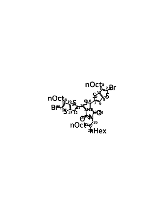 CCCCCCCCc1c(Br)sc2cc(-c3sc(-c4cc5sc(Br)c(CCCCCCCC)c5s4)c4c3C(=O)N(CC(CCCCCC)CCCCCCCC)C4=O)sc12